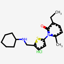 CCc1ccc(C)n(-c2ccc(CNC3CCCCC3)s2)c1=O.Cl